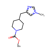 Cn1cnc(CC2CCN(C(=O)OC(C)(C)C)CC2)c1